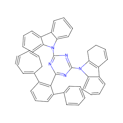 C1#CC=C(c2cccc(-c3ccccc3)c2-c2nc(-n3c4c(c5ccccc53)C=CCC4)nc(-n3c4ccccc4c4ccccc43)n2)CC=C1